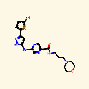 N#Cc1ccc(-c2cc(Nc3cnc(C(=O)NCCCN4CCOCC4)cn3)[nH]n2)s1